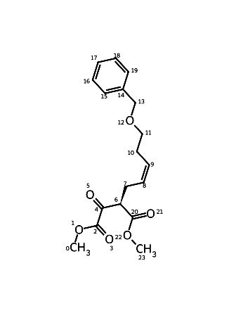 COC(=O)C(=O)[C@@H](C/C=C\CCOCc1ccccc1)C(=O)OC